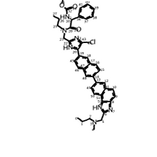 CCCN(C)Cc1nc2ccc3cc(-c4ccc5cc(-c6[nH]c(CN(CCC)C(=O)[C@H](NC(=O)OC)c7ccccc7)nc6Cl)ccc5c4)ccc3c2[nH]1